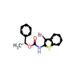 C[C@@H](OC(=O)Nc1sc2ccccc2c1Br)c1ccccc1